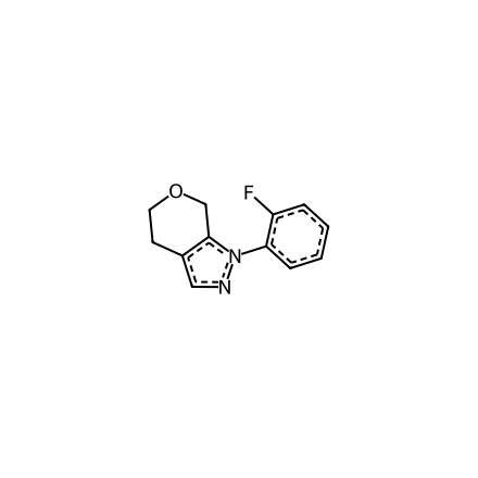 Fc1ccccc1-n1ncc2c1COCC2